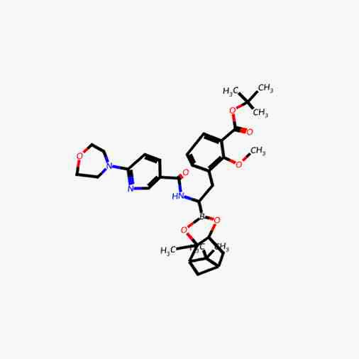 COc1c(CC(NC(=O)c2ccc(N3CCOCC3)nc2)B2OC3CC4CC(C4(C)C)C3(C)O2)cccc1C(=O)OC(C)(C)C